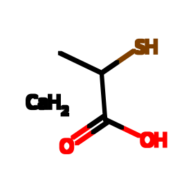 CC(S)C(=O)O.[CaH2]